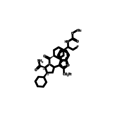 CCOC(=O)c1oc2ccccc2c1C1C[C@@H](C2CCCCC2)[C@@H](C(N)=O)N1C(=O)[C@H]1CC[C@H](C(CF)NC(=O)OC(C)(C)C)CC1